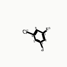 Fc1[c]c(I)cc(Cl)c1